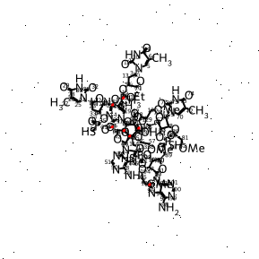 CC[C@H]1O[C@@H](n2cc(C)c(=O)[nH]c2=O)C[C@H]1OP(=O)(S)OC[C@H]1O[C@@H](n2cc(C)c(=O)[nH]c2=O)C[C@H]1OP(=O)(S)OC[C@H]1O[C@@H](n2cnc3c(N)ncnc32)C(OCCOC)[C@H]1OP(=O)(O)OC[C@H]1O[C@@H](n2cc(C)c(=O)[nH]c2=O)C(OCCOC)[C@H]1OP(=O)(S)OC[C@H]1O[C@@H](n2cnc3c(N)ncnc32)C(OCCOC)[C@H]1OP(=O)(S)OC[C@H]1O[C@@H](n2cc(C)c(N)nc2=O)C(OCCOC)[C@H]1O